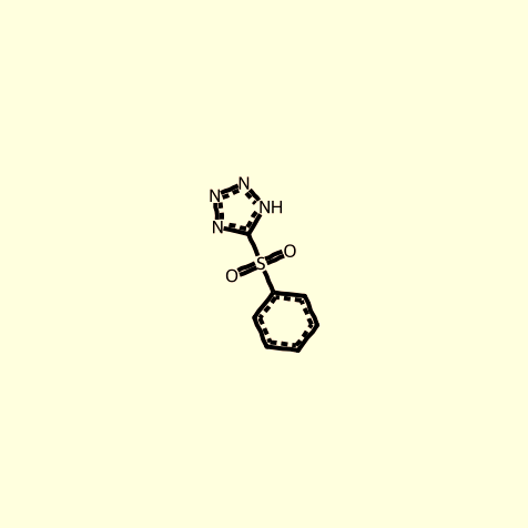 O=S(=O)(c1ccccc1)c1nnn[nH]1